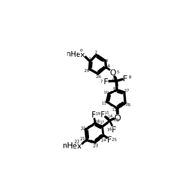 CCCCCCc1ccc(OC(F)(F)c2ccc(OC(F)(F)c3c(F)cc(CCCCCC)cc3F)cc2)cc1